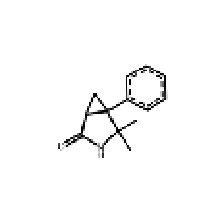 CC1(C)NC(=O)C2CC21c1ccccc1